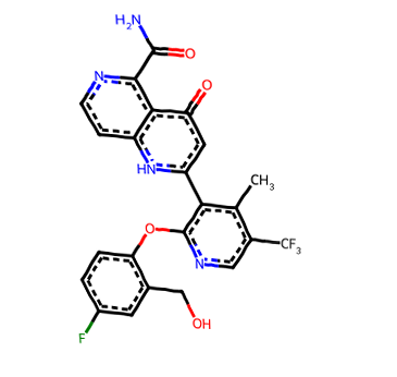 Cc1c(C(F)(F)F)cnc(Oc2ccc(F)cc2CO)c1-c1cc(=O)c2c(C(N)=O)nccc2[nH]1